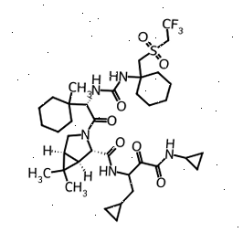 CC1([C@H](NC(=O)NC2(CS(=O)(=O)CC(F)(F)F)CCCCC2)C(=O)N2C[C@H]3[C@@H]([C@H]2C(=O)NC(CC2CC2)C(=O)C(=O)NC2CC2)C3(C)C)CCCCC1